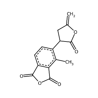 C=C1CC(c2ccc3c(c2C)C(=O)OC3=O)C(=O)O1